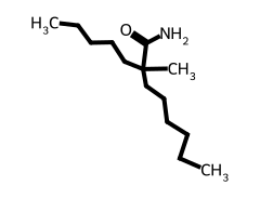 CCCCCCC(C)(CCCCC)C(N)=O